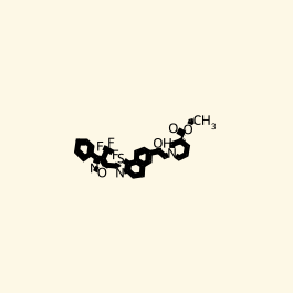 CCOC(=O)[C@H]1CCCN(CC(O)c2ccc3c(c2)CCc2nc(-c4onc(-c5ccccc5)c4C(F)(F)F)sc2-3)C1